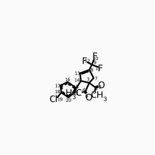 CC(=O)C1(C(C)=O)CC(C(F)(F)F)=CC1c1ccc(Cl)cc1